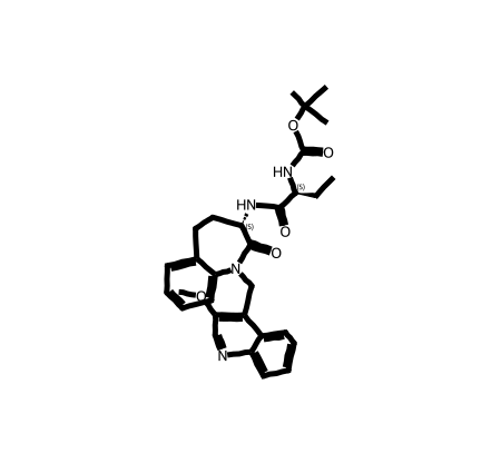 CC[C@H](NC(=O)OC(C)(C)C)C(=O)N[C@H]1CCc2ccccc2N(Cc2c(OC)cnc3ccccc23)C1=O